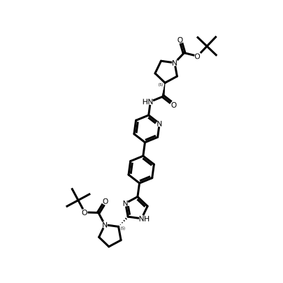 CC(C)(C)OC(=O)N1CC[C@H](C(=O)Nc2ccc(-c3ccc(-c4c[nH]c([C@@H]5CCCN5C(=O)OC(C)(C)C)n4)cc3)cn2)C1